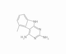 Cc1cccc2[nH]c3nc(N)nc(N)c3c12